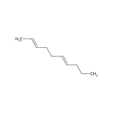 [CH2]CCC=CCCC=CC